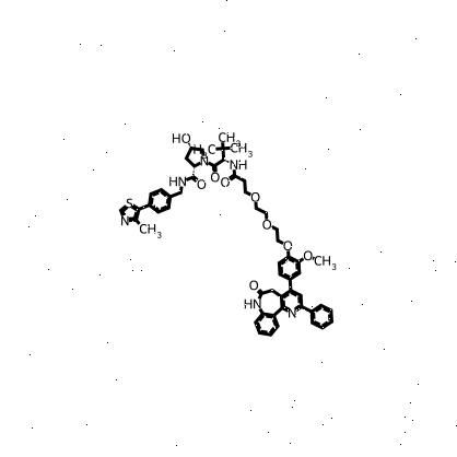 COc1cc(-c2cc(-c3ccccc3)nc3c2CC(=O)Nc2ccccc2-3)ccc1OCCOCCOCCC(=O)N[C@H](C(=O)N1C[C@@H](O)C[C@H]1C(=O)NCc1ccc(-c2scnc2C)cc1)C(C)(C)C